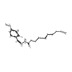 CCCCCCCCCCCCCCCCCC(=O)N/N=C\c1ccc(OC)cc1